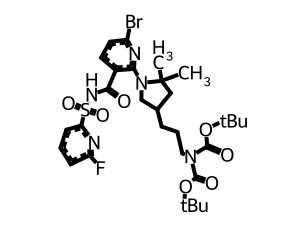 CC(C)(C)OC(=O)N(CCCC1CN(c2nc(Br)ccc2C(=O)NS(=O)(=O)c2cccc(F)n2)C(C)(C)C1)C(=O)OC(C)(C)C